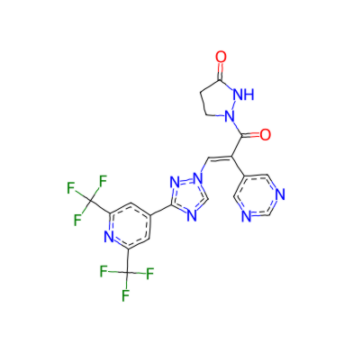 O=C1CCN(C(=O)/C(=C/n2cnc(-c3cc(C(F)(F)F)nc(C(F)(F)F)c3)n2)c2cncnc2)N1